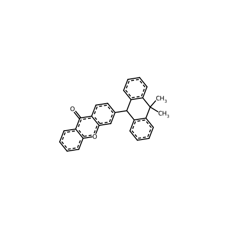 CC1(C)c2ccccc2C(c2ccc3c(=O)c4ccccc4oc3c2)c2ccccc21